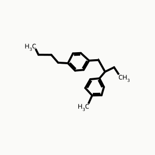 CCCCc1ccc([CH]C(CC)c2ccc(C)cc2)cc1